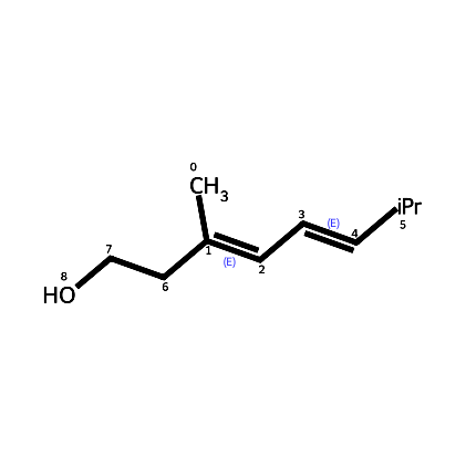 C/C(=C\C=C\C(C)C)CCO